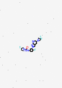 O=C(Nc1ccc(F)c(-n2cc3cc(N4CC(F)(F)C4)cnc3n2)c1)N1CC[C@@H](F)C1